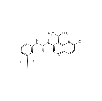 CC(C)c1c(NC(=O)Nc2ccnc(C(F)(F)F)c2)cnc2ccc(Cl)nc12